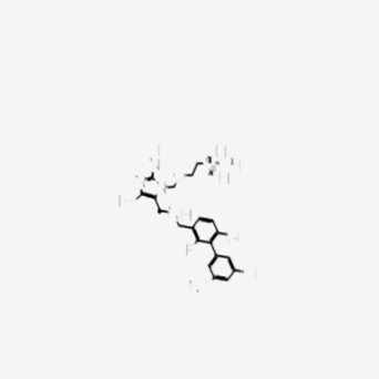 C[Si](C)(C)CCOCn1c(N)nc(Br)c1C(=O)NCc1ccc(Br)c(-c2cc(Cl)cc(C#N)c2)c1F